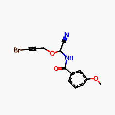 COc1cccc(C(=O)NC(C#N)OCC#CBr)c1